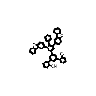 N#Cc1ccccc1-c1cc(-c2cc(-c3ccc4oc5ccccc5c4c3)c(-c3ccccc3)c(-c3ccc4oc5ccccc5c4c3)c2)cc(-c2ccccc2C#N)c1